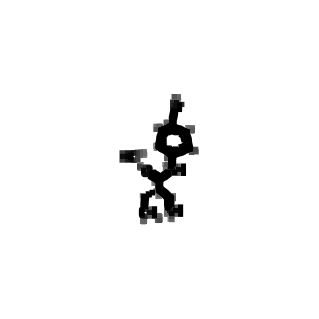 CC[C@@H](C=N)C(=O)Nc1ccc(Br)cc1.Cl